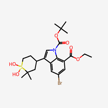 CCOC(=O)c1cc(Br)cc2c(C3CCS(O)(O)C(C)(C)C3)cn(C(=O)OC(C)(C)C)c12